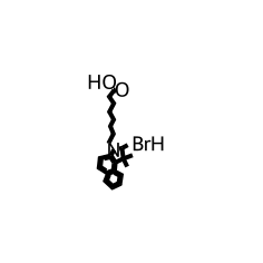 Br.CC1N(CCCCCCCC(=O)O)c2ccc3ccccc3c2C1(C)C